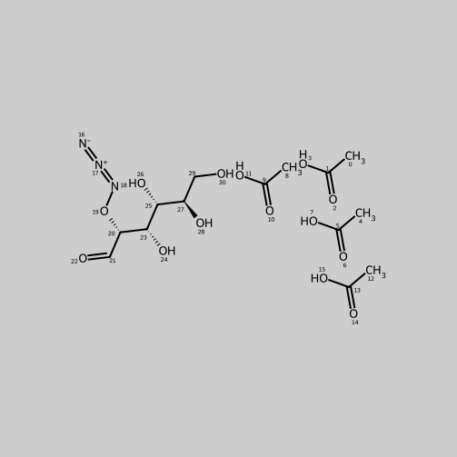 CC(=O)O.CC(=O)O.CC(=O)O.CC(=O)O.[N-]=[N+]=NO[C@@H](C=O)[C@@H](O)[C@H](O)[C@H](O)CO